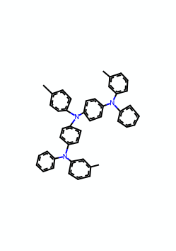 Cc1ccc(N(c2ccc(N(c3ccccc3)c3cccc(C)c3)cc2)c2ccc(N(c3ccccc3)c3cccc(C)c3)cc2)cc1